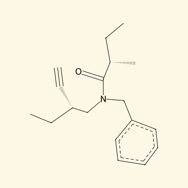 C#C[C@@H](CC)CN(Cc1ccccc1)C(=O)[C@@H](C)CC